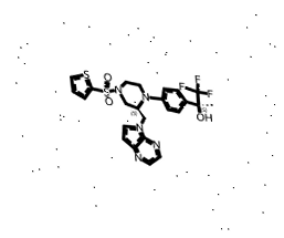 C[C@](O)(c1ccc(N2CCN(S(=O)(=O)c3cccs3)C[C@@H]2Cn2ccc3nccnc32)cc1)C(F)(F)F